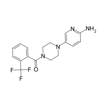 Nc1ccc(N2CCN(C(=O)c3ccccc3C(F)(F)F)CC2)cn1